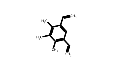 C=Cc1cc(C=C)c(C)c(C)c1C